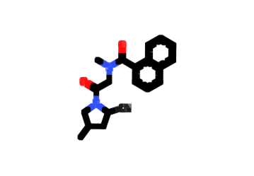 CC1CC(C#N)N(C(=O)CN(C)C(=O)c2cccc3ccccc23)C1